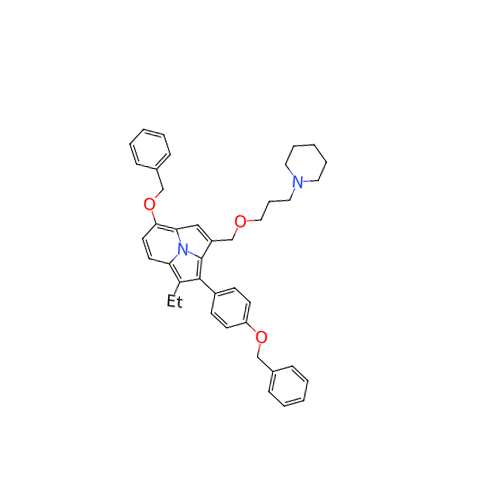 CCc1c(-c2ccc(OCc3ccccc3)cc2)c2c(COCCCN3CCCCC3)cc3c(OCc4ccccc4)ccc1n32